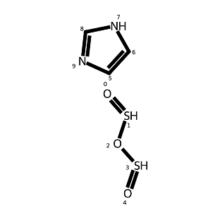 O=[SH]O[SH]=O.c1c[nH]cn1